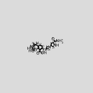 [NH3+]C(=O)[C@@H]1C[C@H](N2CC(Oc3ccc4c(c3C(=O)O)O[B-](O)(O)[C@H]3C[C@@H]43)C2)CN1